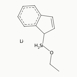 CCO[SiH2]C1C=Cc2ccccc21.[Li]